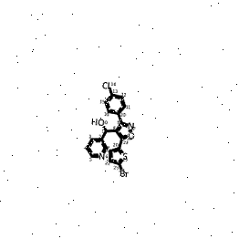 OC(c1cccnc1)c1c(-c2ccc(Cl)cc2)noc1-c1ccc(Br)s1